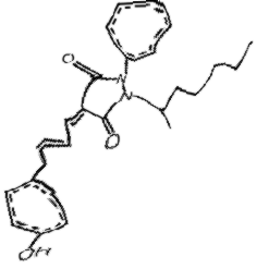 CCCCCC(C)N1C(=O)/C(=C\C=C\c2ccc(O)cc2)C(=O)N1c1ccccc1